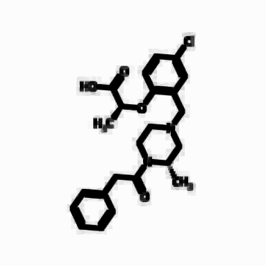 C[C@H](Oc1ccc(Cl)cc1CN1CCN(C(=O)Cc2ccccc2)[C@@H](C)C1)C(=O)O